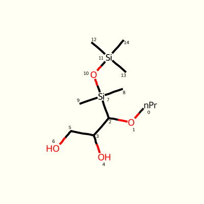 CCCOC(C(O)CO)[Si](C)(C)O[Si](C)(C)C